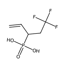 C=CC(CC(F)(F)F)P(=O)(O)O